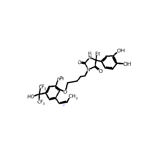 C/C=C\c1cc(C(O)(C(F)(F)F)C(F)(F)F)cc(CCC)c1OCCCCN1C(=O)NC(CC)(c2ccc(O)c(O)c2)C1=O